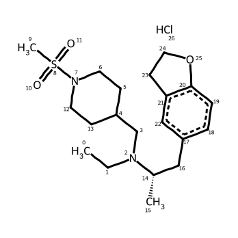 CCN(CC1CCN(S(C)(=O)=O)CC1)[C@@H](C)Cc1ccc2c(c1)CCO2.Cl